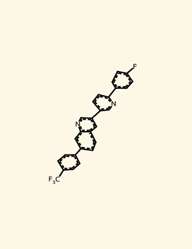 Fc1ccc(-c2ccc(-c3cnc4cc(-c5ccc(C(F)(F)F)cc5)ccc4c3)cn2)cc1